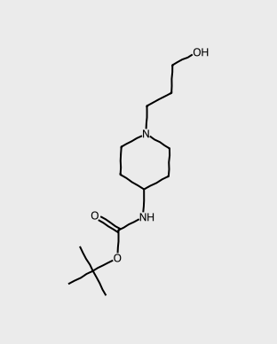 CC(C)(C)OC(=O)NC1CCN(CCCO)CC1